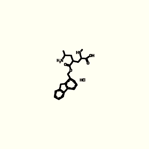 CNC(CC(CC(C)N)C(=O)OCc1cccc2c1Cc1ccccc1-2)C(=O)O.Cl